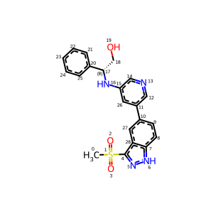 CS(=O)(=O)c1n[nH]c2ccc(-c3cncc(N[C@@H](CO)c4ccccc4)c3)cc12